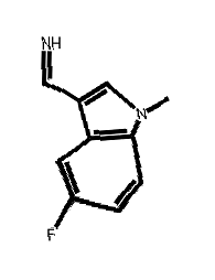 Cn1cc(C=N)c2cc(F)ccc21